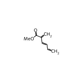 C=CC=CC(=C)C(=O)OC